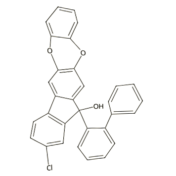 OC1(c2ccccc2-c2ccccc2)c2cc(Cl)ccc2-c2cc3c(cc21)Oc1ccccc1O3